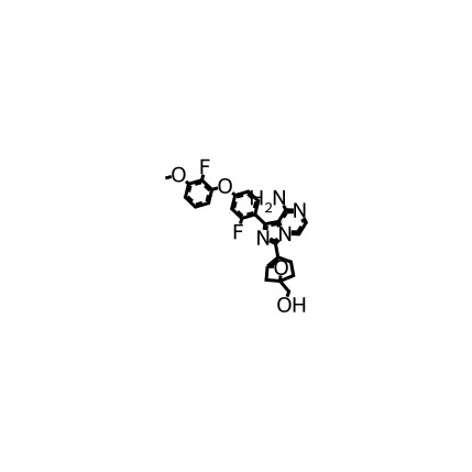 COc1cccc(Oc2ccc(-c3nc(C4=C5CC(CO)(CC4)O5)n4ccnc(N)c34)c(F)c2)c1F